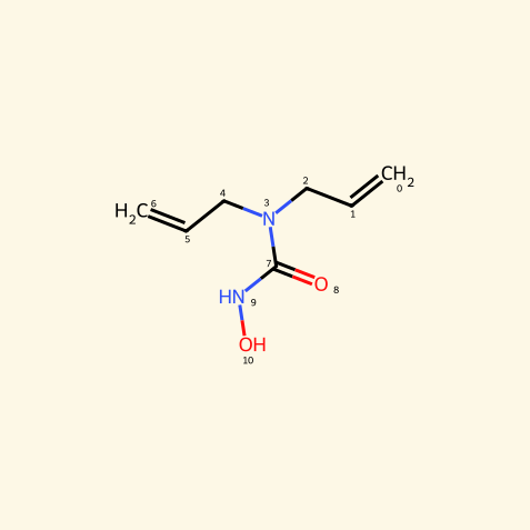 C=CCN(CC=C)C(=O)NO